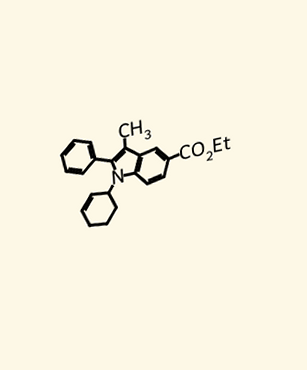 CCOC(=O)c1ccc2c(c1)c(C)c(-c1ccccc1)n2C1C=CCCC1